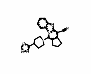 N#Cc1c2c(c(N3CCC(c4nnco4)CC3)n3c1nc1ccccc13)CCC2